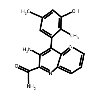 Cc1cc(O)c(C)c(-c2c(N)c(C(N)=O)nc3cccnc23)c1